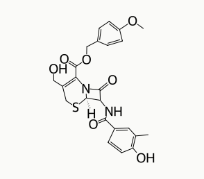 COc1ccc(COC(=O)C2=C(CO)CS[C@@H]3C(NC(=O)c4ccc(O)c(C)c4)C(=O)N23)cc1